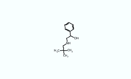 CC(C)(C)CNCC(O)c1ccccc1